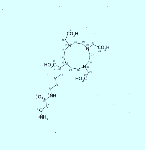 NOCC(=O)NCCCCC(C(=O)O)N1CCN(CC(=O)O)CCN(CC(=O)O)CCN(CC(=O)O)CC1